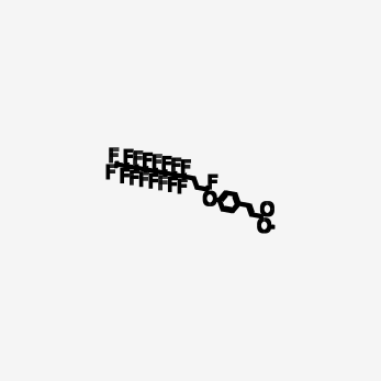 COC(=O)C=Cc1ccc(OC(F)CCC(F)(F)C(F)(F)C(F)(F)C(F)(F)C(F)(F)C(F)(F)C(F)(F)C(F)F)cc1